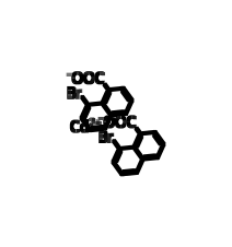 O=C([O-])c1cccc2cccc(Br)c12.O=C([O-])c1cccc2cccc(Br)c12.[Cd+2]